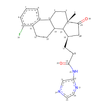 C[C@]12CCC3c4cccc(F)c4CCC3C1[C@H](CCC(=O)Nc1cnccn1)CC2=O